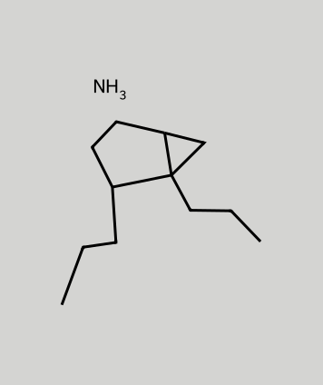 CCCC1CCC2CC12CCC.N